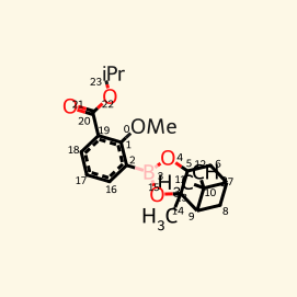 COc1c(B2OC3CC4CC(C4(C)C)C3(C)O2)cccc1C(=O)OC(C)C